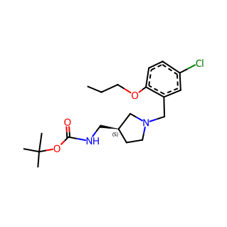 CCCOc1ccc(Cl)cc1CN1CC[C@@H](CNC(=O)OC(C)(C)C)C1